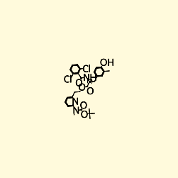 Cc1cc(C[C@H](NC(=O)c2c(Cl)cccc2Cl)C(=O)OCCc2cccc(N(C)C(=O)OC(C)(C)C)n2)ccc1O